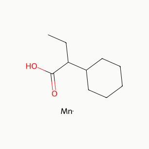 CCC(C(=O)O)C1CCCCC1.[Mn]